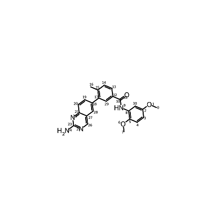 COc1ccc(OC)c(NC(=O)c2ccc(C)c(-c3ccc4nc(N)ncc4c3)c2)c1